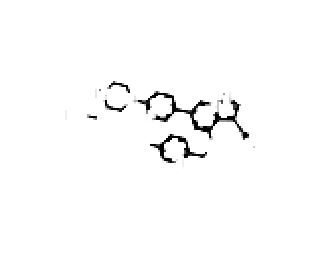 C[C@@H](Oc1cc(-c2ccc(N3CCN[C@@H](CO)C3)nc2)cn2ncc(C#N)c12)c1ccc(F)cn1